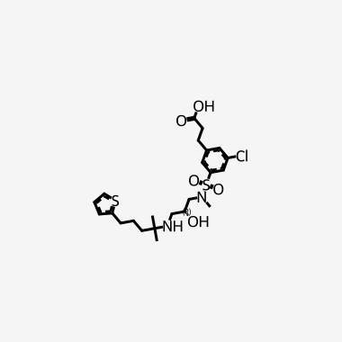 CN(C[C@H](O)CNC(C)(C)CCCc1cccs1)S(=O)(=O)c1cc(Cl)cc(CCC(=O)O)c1